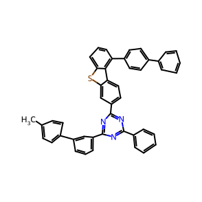 Cc1ccc(-c2cccc(-c3nc(-c4ccccc4)nc(-c4ccc5c(c4)sc4cccc(-c6ccc(-c7ccccc7)cc6)c45)n3)c2)cc1